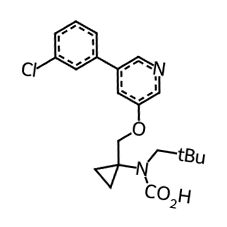 CC(C)(C)CN(C(=O)O)C1(COc2cncc(-c3cccc(Cl)c3)c2)CC1